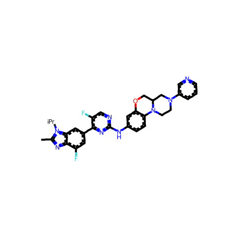 Cc1nc2c(F)cc(-c3nc(Nc4ccc5c(c4)OCC4CN(c6cccnc6)CCN54)ncc3F)cc2n1C(C)C